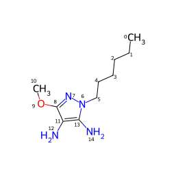 CCCCCCn1nc(OC)c(N)c1N